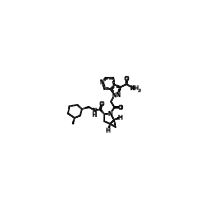 C[C@H]1CCC[C@@H](CNC(=O)[C@@H]2C[C@H]3C[C@H]3N2C(=O)Cn2nc(C(N)=O)c3ccncc32)C1